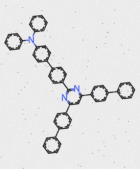 c1ccc(-c2ccc(-c3cc(-c4ccc(-c5ccccc5)cc4)nc(-c4ccc(-c5ccc(N(c6ccccc6)c6ccccc6)cc5)cc4)n3)cc2)cc1